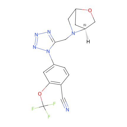 N#Cc1ccc(-n2nnnc2CN2CC3C[C@H]2CO3)cc1OC(F)(F)F